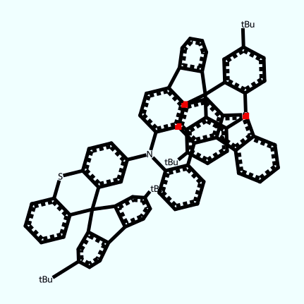 CC(C)(C)c1ccc2c(c1)C1(c3cc(C(C)(C)C)ccc3O2)c2ccccc2-c2ccc(N(c3ccc4c(c3)C3(c5ccccc5S4)c4cc(C(C)(C)C)ccc4-c4ccc(C(C)(C)C)cc43)c3ccccc3-c3cccc4oc5ccccc5c34)cc21